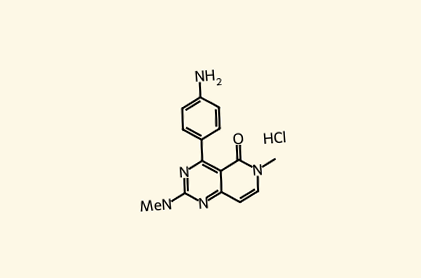 CNc1nc(-c2ccc(N)cc2)c2c(=O)n(C)ccc2n1.Cl